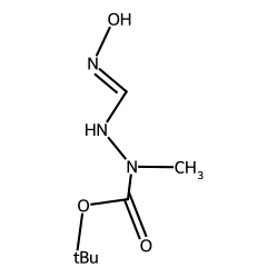 CN(NC=NO)C(=O)OC(C)(C)C